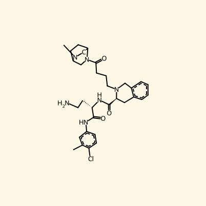 Cc1cc(NC(=O)[C@H](CCN)NC(=O)[C@@H]2Cc3ccccc3CN2CCCC(=O)N2CC3CCC2CN3C)ccc1Cl